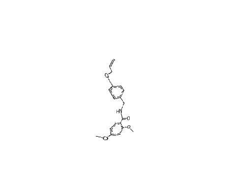 C=CCOc1ccc(CNC(=O)c2[c]cc(OC)cc2OC)cc1